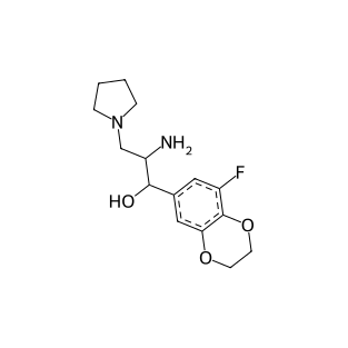 NC(CN1CCCC1)C(O)c1cc(F)c2c(c1)OCCO2